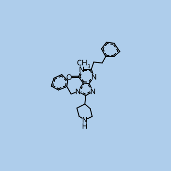 Cn1c(CCc2ccccc2)nc2nc(C3CCNCC3)n(Cc3ccccc3)c2c1=O